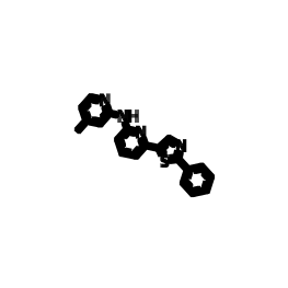 Cc1ccnc(Nc2cccc(-c3cnc(-c4ccccc4)s3)n2)c1